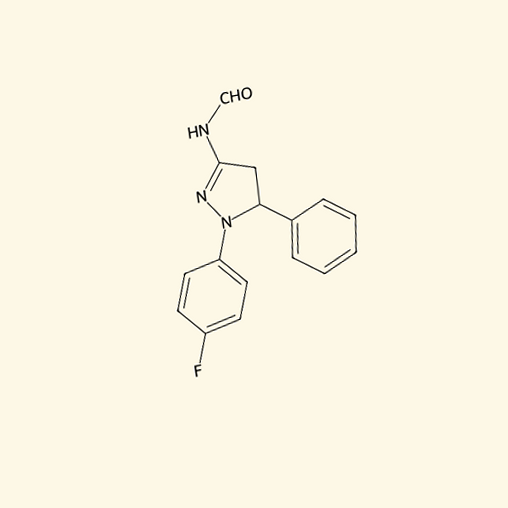 O=CNC1=NN(c2ccc(F)cc2)C(c2ccccc2)C1